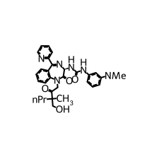 CCCC(C)(CO)C(=O)CN1C(=O)[C@H](NC(=O)Nc2cccc(NC)c2)N=C(c2ccccn2)c2ccccc21